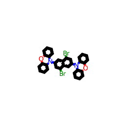 Brc1cc(N2c3ccccc3Oc3ccccc32)cc2c(Br)cc(N3c4ccccc4Oc4ccccc43)cc12